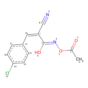 CC(=O)ON=C(O)C(C#N)=Cc1ccc(Cl)cc1